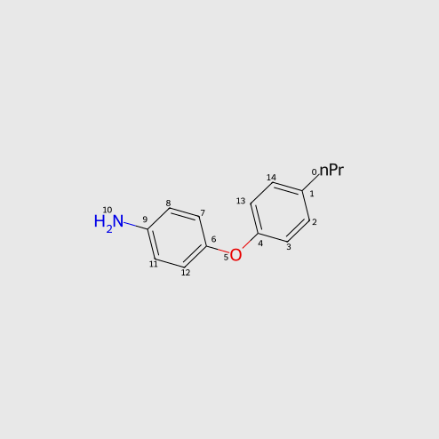 CCCc1ccc(Oc2ccc(N)cc2)cc1